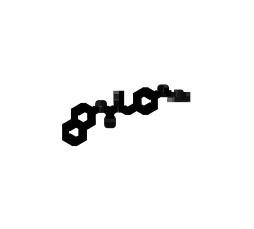 CCCCOc1ccc(CNC(=O)Oc2ccc3ccccc3c2)cc1